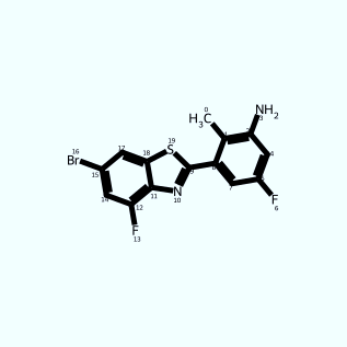 Cc1c(N)cc(F)cc1-c1nc2c(F)cc(Br)cc2s1